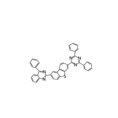 c1ccc(-c2nc(-c3ccccc3)nc(-c3ccc4c(c3)sc3ccc(-c5nc(-c6ccccc6)c6ccccc6n5)cc34)n2)cc1